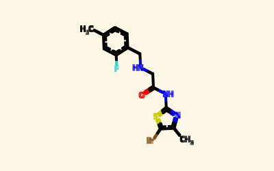 Cc1ccc(CNCC(=O)Nc2nc(C)c(Br)s2)c(F)c1